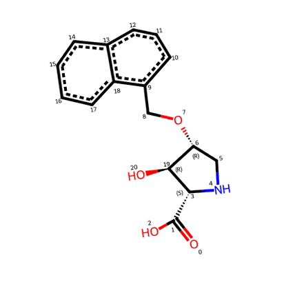 O=C(O)[C@H]1NC[C@@H](OCc2cccc3ccccc23)[C@@H]1O